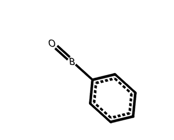 O=Bc1ccccc1